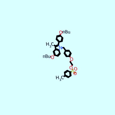 CCCCOc1ccc(-c2c(C)c3cc(OCCCC)ccc3n2Cc2ccc(OCCOS(=O)(=O)c3ccc(C)cc3)cc2)cc1